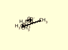 CCCCCCCCCCCCCC[N+](C)(C)C.CCOS(=O)(=O)[O-]